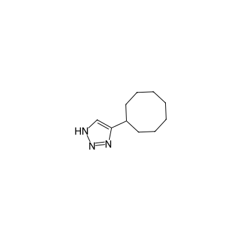 c1[nH]nnc1C1CCCCCCC1